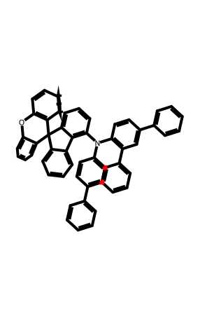 c1ccc(-c2ccc(N(c3ccc(-c4ccccc4)cc3-c3ccccc3)c3cccc4c3-c3ccccc3C43c4ccccc4Oc4ccc5ccccc5c43)cc2)cc1